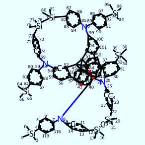 C[Si](C)(C)c1ccc(N2c3ccc(cc3)[Si](C)(C)C[Si](C)(C)c3ccc(cc3)N(c3ccc([Si](C)(C)C)cc3)c3ccc4c(c3)C3(c5ccccc5)c5cc(ccc5-4)N(c4ccc([Si](C)(C)C)cc4)c4ccc(cc4)[Si](C)(C)C[Si](C)(C)c4ccc(cc4)N(c4ccc([Si](C)(C)C)cc4)c4ccc5c(c4)C3(c3ccccc3)c3cc2ccc3-5)cc1